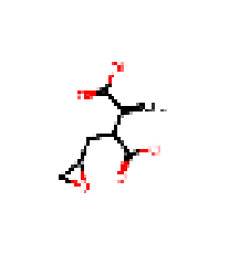 C=C(C(=O)O)C(CC1CO1)C(=O)O